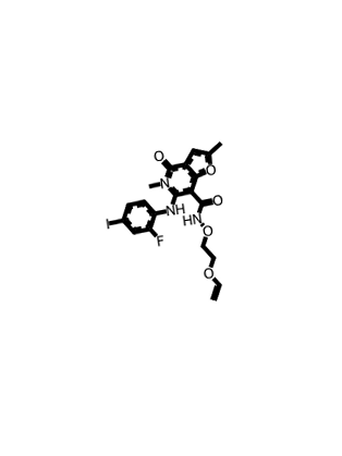 C=COCCONC(=O)c1c(Nc2ccc(I)cc2F)n(C)c(=O)c2cc(C)oc12